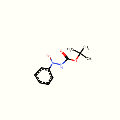 CC(C)(C)OC(=O)NN(Br)c1ccccc1